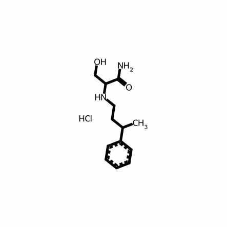 CC(CCNC(CO)C(N)=O)c1ccccc1.Cl